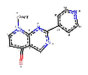 CCCCCn1ccc(=O)c2cnc(-c3ccncc3)nc21